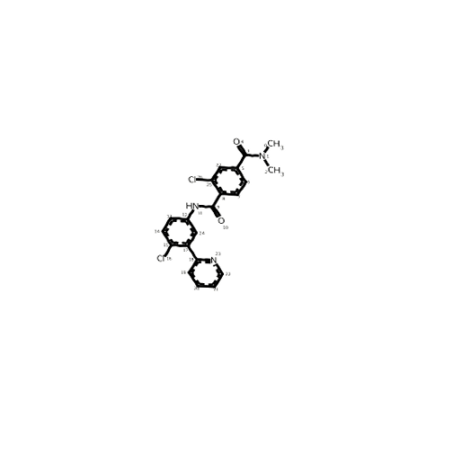 CN(C)C(=O)c1ccc(C(=O)Nc2ccc(Cl)c(-c3ccccn3)c2)c(Cl)c1